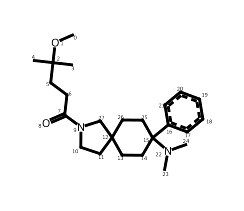 COC(C)(C)CCC(=O)N1CCC2(CCC(c3ccccc3)(N(C)C)CC2)C1